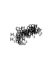 C/C=C/C[C@@H](C)[C@@H](OC(C)=O)[C@@H](C(=O)N[C@@H](CC)C(=O)N(C)[C@H](C)C(=O)OC(C)(C)C)N(C)C(=O)[C@H](C(C)C)N(C)C(=O)[C@H](CC(C)C)N(C)C(=O)[C@H](CC(C)C)N(C)C(=O)[C@@H](C)NC(=O)[C@H](C)NC(=O)[C@H](CC(C)C)N(C)C(=O)[C@@H](N)C(C)C